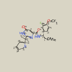 COC[C@@H](NC(=O)c1cc(=O)[nH]c(C(C)(C)c2ccccn2)n1)c1ccc(OC(F)(F)F)c(F)c1